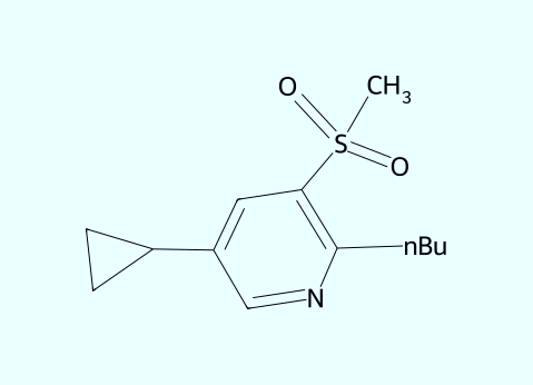 CCCCc1ncc(C2CC2)cc1S(C)(=O)=O